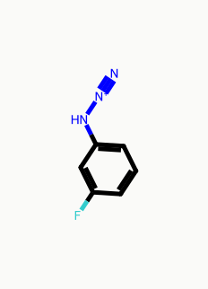 N#[N+]Nc1cccc(F)c1